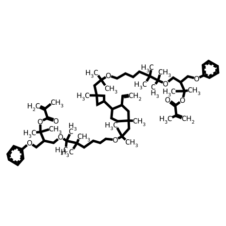 C=CC1CC(C)(CC(C)(C)OCCCCC(C)(C)C(C)(C)OCC(COc2ccccc2)C(C)(C)OC(=O)C(=C)C)CCC1C1CC(C)(CC(C)(C)OCCCCC(C)(C)C(C)(C)OCC(COc2ccccc2)C(C)(C)OC(=O)C(=C)C)C1